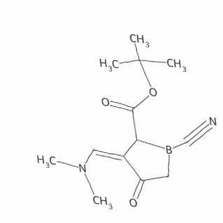 CN(C)/C=C1\C(=O)CB(C#N)C1C(=O)OC(C)(C)C